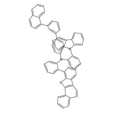 c1cc(-c2ccc(N(c3ccccc3-c3cccc4c3oc3c5ccccc5ccc43)c3ccccc3-n3c4ccccc4c4ccccc43)cc2)cc(-c2cccc3ccccc23)c1